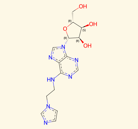 OC[C@H]1O[C@@H](n2cnc3c(NCCn4ccnc4)ncnc32)[C@H](O)[C@@H]1O